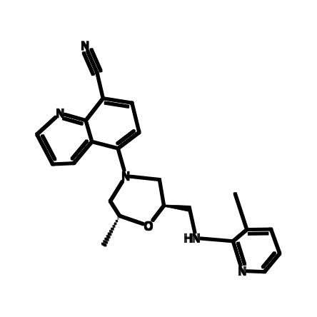 Cc1cccnc1NC[C@@H]1CN(c2ccc(C#N)c3ncccc23)C[C@@H](C)O1